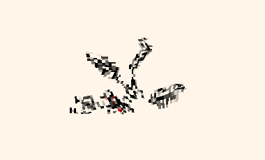 CO[Si](CCCNC(=O)C12c3ccccc3C(c3ccccc31)C1(C(=O)OCc3cc(OCCCC(F)(F)C(F)(F)C(F)(F)C(F)(F)C(F)(F)C(F)(F)C(F)(F)C(F)(F)F)c(OCCCC(F)(F)C(F)(F)C(F)(F)C(F)(F)C(F)(F)C(F)(F)C(F)(F)C(F)(F)F)c(OCCCC(F)(F)C(F)(F)C(F)(F)C(F)(F)C(F)(F)C(F)(F)C(F)(F)C(F)(F)F)c3)c3ccccc3C2c2ccccc21)(OC)OC